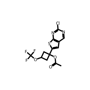 CC(=O)OC1(c2cc3cnc(Cl)nc3s2)CC(OC(F)(F)F)C1